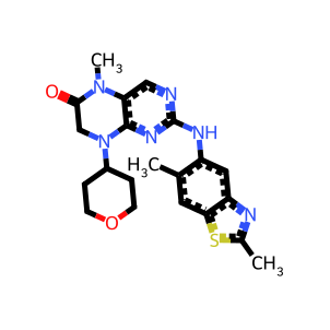 Cc1nc2cc(Nc3ncc4c(n3)N(C3CCOCC3)CC(=O)N4C)c(C)cc2s1